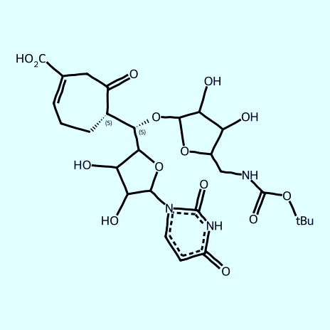 CC(C)(C)OC(=O)NCC1OC(O[C@H](C2OC(n3ccc(=O)[nH]c3=O)C(O)C2O)[C@@H]2CCC=C(C(=O)O)CC2=O)C(O)C1O